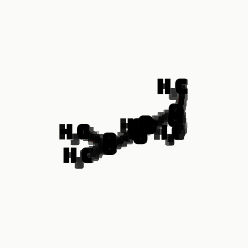 CCCCCCCCC(CCCCCC)OC(=O)CCCCCCCOC(=O)CC(O)C(=O)OCCCCCCCC(=O)OC(CCCCCC)CCCCCCCC